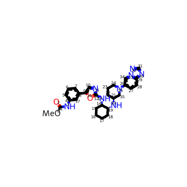 COC(=O)Nc1cccc(-c2cnc(N[C@@H]3CCCC[C@H]3N[C@H]3CCCN(c4ccc5ncnn5c4)C3)o2)c1